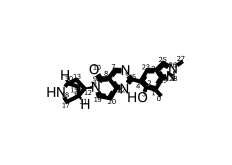 Cc1c(O)c(-c2ncc3c(=O)n([C@@H]4C[C@@H]5C[C@H]4CN5)ccc3n2)cc2cn(C)nc12